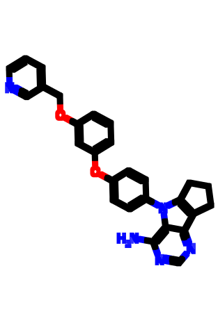 Nc1ncnc2c3c(n(-c4ccc(Oc5cccc(OCc6cccnc6)c5)cc4)c12)CCC3